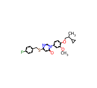 COc1cc(-n2cnc(SCc3ccc(F)cc3)cc2=O)ccc1OCC(C)C1CC1